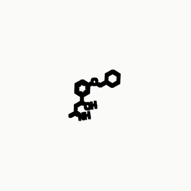 CC(=N)CC(O)c1cccc(OCC2CCCCC2)c1